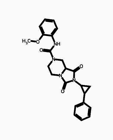 COc1ccccc1NC(=O)N1CCN2C(=O)N(C3CC3c3ccccc3)C(=O)C2C1